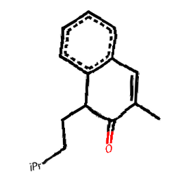 CC1=Cc2ccccc2C(CCC(C)C)C1=O